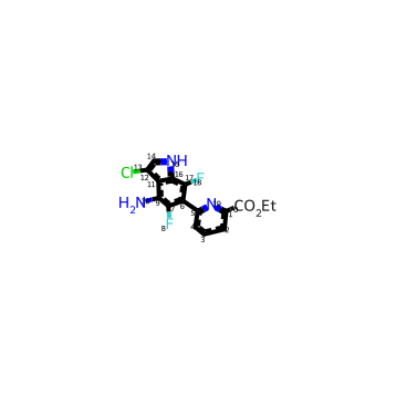 CCOC(=O)c1cccc(-c2c(F)c(N)c3c(Cl)c[nH]c3c2F)n1